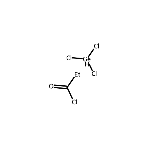 CCC(=O)Cl.[Cl][GeH]([Cl])[Cl]